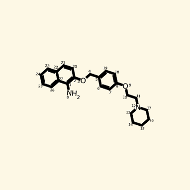 Nc1c(OCc2ccc(OCCN3CCCCC3)cc2)ccc2ccccc12